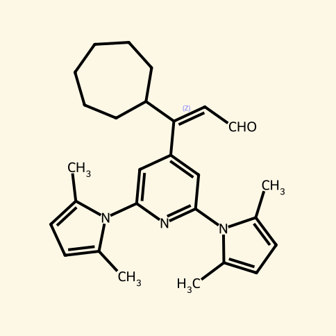 Cc1ccc(C)n1-c1cc(/C(=C\C=O)C2CCCCCC2)cc(-n2c(C)ccc2C)n1